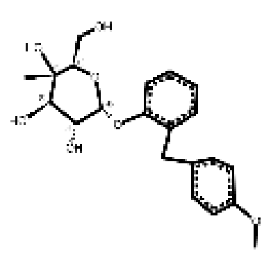 COc1ccc(Cc2ccccc2O[C@H]2O[C@H](CO)[C@@](C)(O)[C@H](O)[C@H]2O)cc1